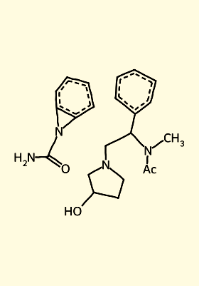 CC(=O)N(C)C(CN1CCC(O)C1)c1ccccc1.NC(=O)N1c2ccccc21